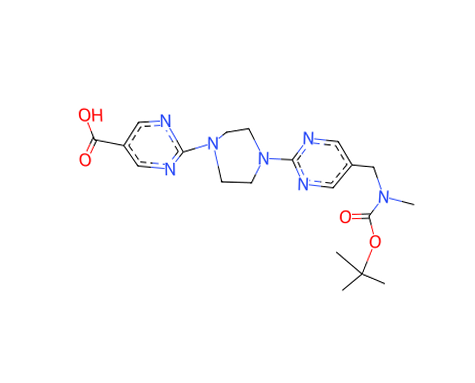 CN(Cc1cnc(N2CCN(c3ncc(C(=O)O)cn3)CC2)nc1)C(=O)OC(C)(C)C